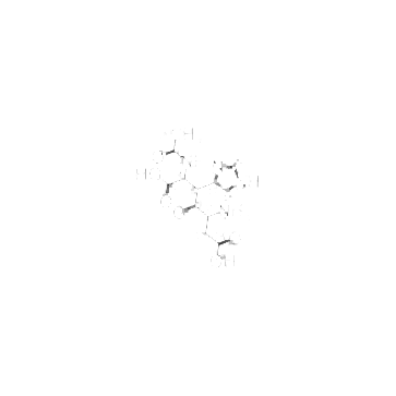 CC(=O)NC(C(=O)O)C(C(=O)C(N)CC(=O)O)c1c[nH]cn1